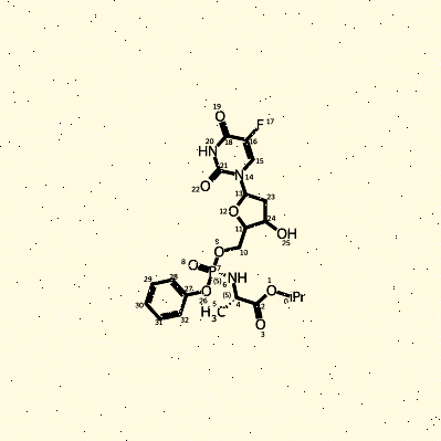 CC(C)OC(=O)[C@H](C)N[P@](=O)(OCC1OC(n2cc(F)c(=O)[nH]c2=O)CC1O)Oc1ccccc1